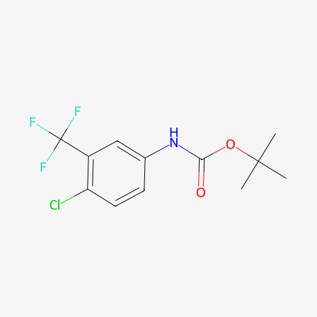 CC(C)(C)OC(=O)Nc1ccc(Cl)c(C(F)(F)F)c1